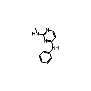 CNc1nccc(Nc2ccccc2)n1